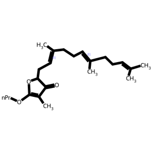 CCCOC1=C(C)C(=O)C(C/C=C(\C)CC/C=C(\C)CCC=C(C)C)O1